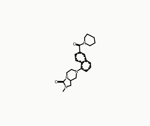 CN1CC2CN(c3cccc4cc(C(=O)N5CCCCC5)ccc34)CCN2C1=O